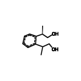 CC(CO)c1ccccc1C(C)CO